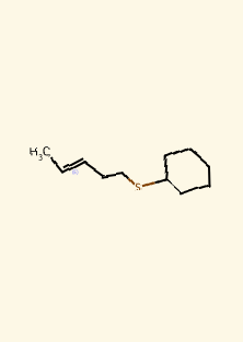 C/C=C/CCSC1CCCCC1